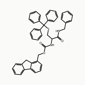 O=C(NC(CSC(c1ccccc1)(c1ccccc1)c1ccccc1)C(=O)NCc1ccccc1)OCc1cccc2c1Cc1ccccc1-2